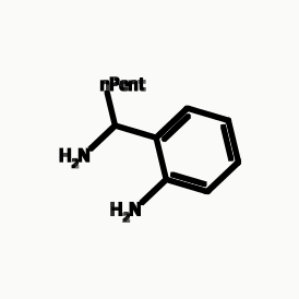 CCCCCC(N)c1ccccc1N